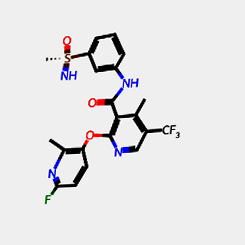 Cc1nc(F)ccc1Oc1ncc(C(F)(F)F)c(C)c1C(=O)Nc1cccc([S@@](C)(=N)=O)c1